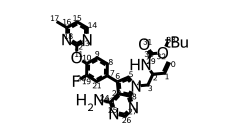 C=CC(Cn1cc(-c2ccc(Oc3nccc(C)n3)c(F)c2)c2c(N)ncnc21)NC(=O)OC(C)(C)C